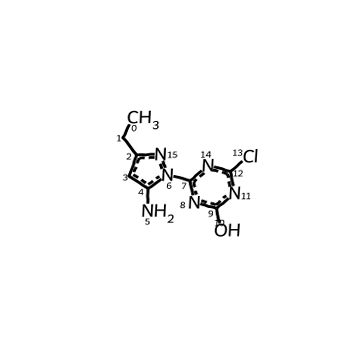 CCc1cc(N)n(-c2nc(O)nc(Cl)n2)n1